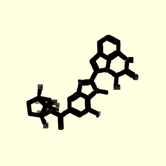 CCC1C(=O)Nc2cccc3cc(-c4nc5cc(C(=O)N6C[C@H]7CC[C@@H]6[C@@H]7N)cc(F)c5n4C)n1c23